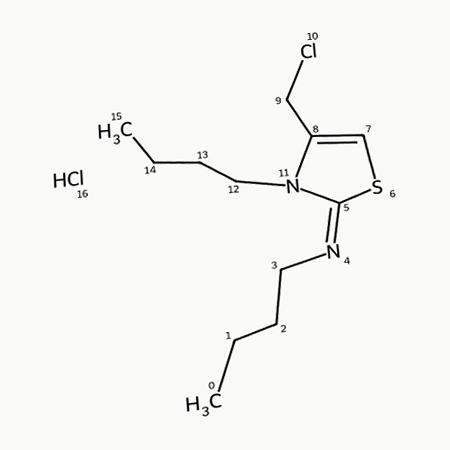 CCCCN=c1scc(CCl)n1CCCC.Cl